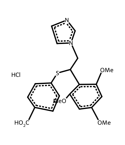 COc1cc(OC)c(C(Cn2ccnc2)Sc2ccc(C(=O)O)cc2)c(OC)c1.Cl